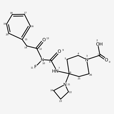 O=C(O)N1CCC(NC(=O)N(F)C(=O)Cc2ccccc2)(N2CCC2)CC1